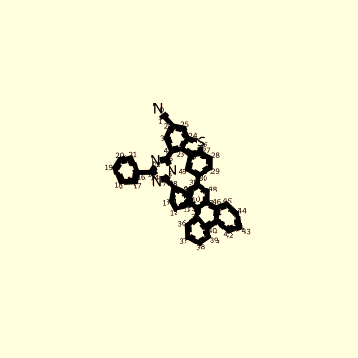 N#Cc1cc(-c2nc(-c3ccccc3)nc(-c3ccccc3)n2)c2c(c1)sc1ccc(-c3ccc4c5ccccc5c5ccccc5c4c3)cc12